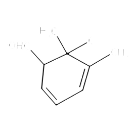 CC1=CC=CC([C]=O)C1(C)Cl